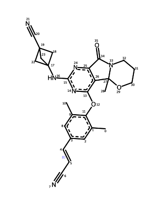 Cc1cc(/C=C/C#N)cc(C)c1Oc1nc(NC23CC(C#N)(C2)C3)nc2c1C1(C)OCCCN1C2=O